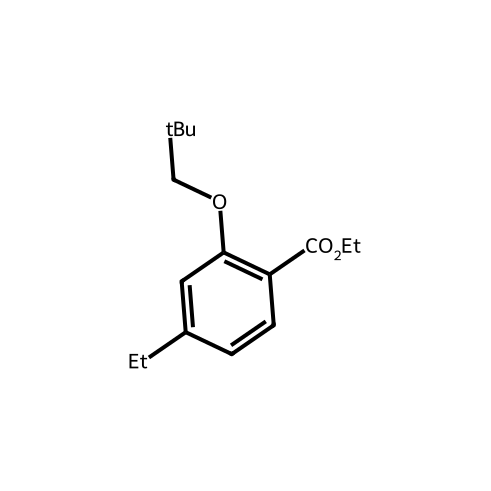 CCOC(=O)c1ccc(CC)cc1OCC(C)(C)C